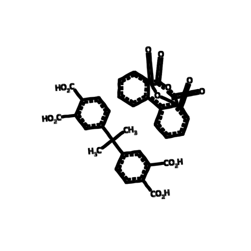 CC(C)(c1ccc(C(=O)O)c(C(=O)O)c1)c1ccc(C(=O)O)c(C(=O)O)c1.O=C1OC(=O)c2cccc3c2c(=O)oc(=O)c2c1cccc23